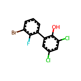 Oc1c(Cl)cc(Cl)cc1-c1cccc(Br)c1F